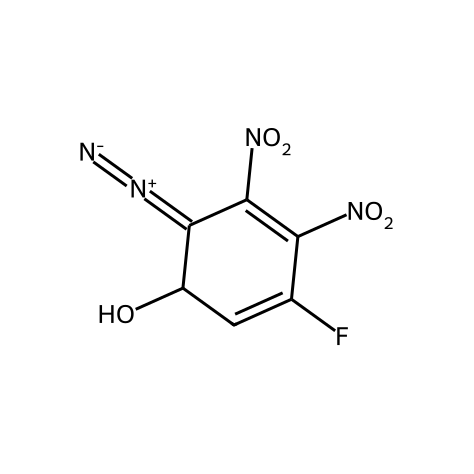 [N-]=[N+]=C1C([N+](=O)[O-])=C([N+](=O)[O-])C(F)=CC1O